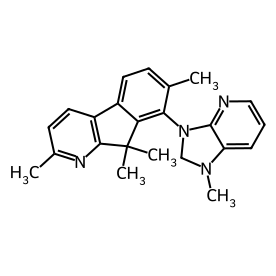 Cc1ccc2c(n1)C(C)(C)c1c-2ccc(C)c1N1CN(C)c2cccnc21